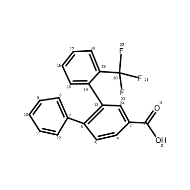 O=C(O)c1ccc(-c2ccccc2)c(-c2ccccc2C(F)(F)F)c1